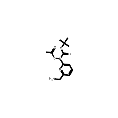 CC(=O)ON(C(=O)OC(C)(C)C)c1cccc(CN)n1